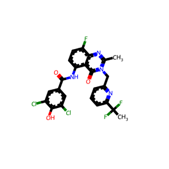 Cc1nc2c(F)ccc(NC(=O)c3cc(Cl)c(O)c(Cl)c3)c2c(=O)n1Cc1cccc(C(C)(F)F)n1